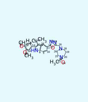 COc1ccc(-c2[nH]c3ccc(-c4nnc(CN5CCCN(C(C)=O)CC5)o4)cc3c2C(C)C)cc1OC